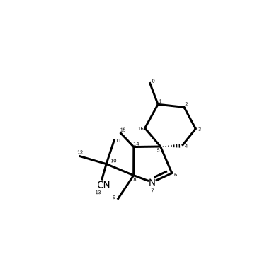 CC1CCC[C@@]2(C=NC(C)(C(C)(C)C#N)C2C)C1